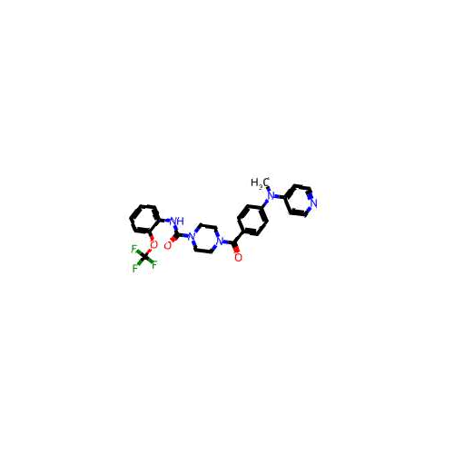 CN(c1ccncc1)c1ccc(C(=O)N2CCN(C(=O)Nc3ccccc3OC(F)(F)F)CC2)cc1